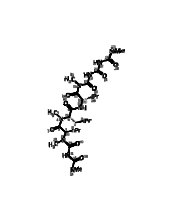 CCC[C@H](C(=O)N(C)[C@@H](CC(C)C)C(=O)N[C@H](C(=O)N(C)C(=O)NC(=O)NC(=O)NC)C(C)C)N(C)C(=O)NC(=O)NC